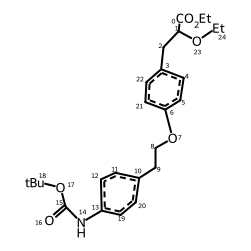 CCOC(=O)C(Cc1ccc(OCCc2ccc(NC(=O)OC(C)(C)C)cc2)cc1)OCC